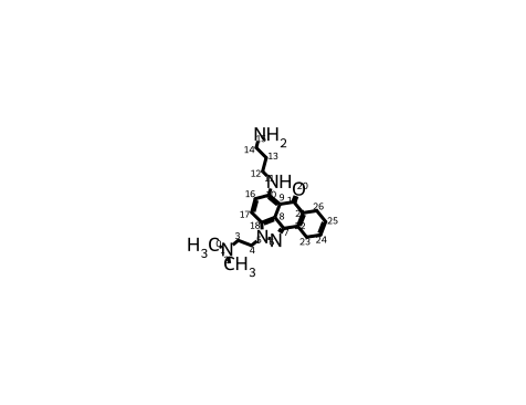 CN(C)CCn1nc2c3c(c(NCCCN)ccc31)C(=O)C1=C2CC=CC1